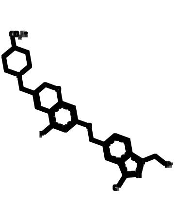 CCOC(=O)C1CCN(CC2=Cc3c(F)cc(OCc4ccc5c(c4)c(Cl)nn5CC(C)C)cc3OC2)CC1